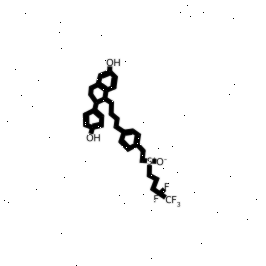 [O-][S+](CCCC(F)(F)C(F)(F)F)CCc1ccc(CCCCC2c3ccc(O)cc3CCC2c2ccc(O)cc2)cc1